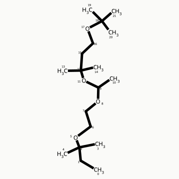 CCC(C)(C)OCCOC(C)OC(C)(C)CCOC(C)(C)C